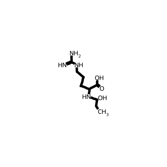 CCC(O)NC(CCCNC(=N)N)C(=O)O